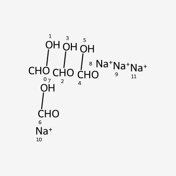 O=[C-]O.O=[C-]O.O=[C-]O.O=[C-]O.[Na+].[Na+].[Na+].[Na+]